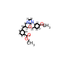 CCOC(=O)c1cccc(C=C(COCc2ccc(OC)cc2)Cn2ccnc2)c1